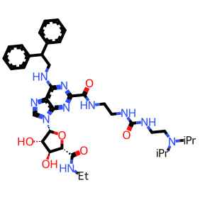 CCNC(=O)[C@H]1O[C@@H](n2cnc3c(NCC(c4ccccc4)c4ccccc4)nc(C(=O)NCCNC(=O)NCCN(C(C)C)C(C)C)nc32)[C@@H](O)[C@@H]1O